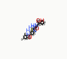 Cc1cc(C)c(NC(=O)c2ccc3nc(NC(=O)NCC(CO)c4ccccc4)sc3c2)c(C)c1